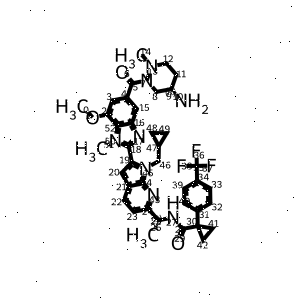 COc1cc(C(=O)N2C[C@H](N)CCN2C)cc2nc(-c3cc4ccc([C@@H](C)NC(=O)C5(c6ccc(C(F)(F)F)cc6)CC5)nc4n3CC3CC3)n(C)c12